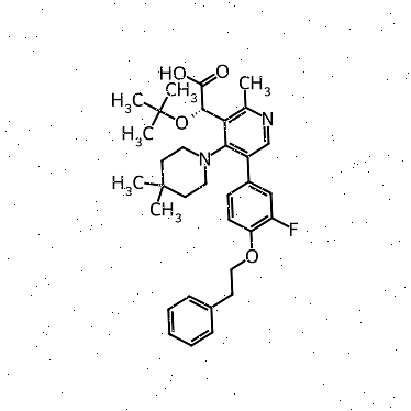 Cc1ncc(-c2ccc(OCCc3ccccc3)c(F)c2)c(N2CCC(C)(C)CC2)c1[C@H](OC(C)(C)C)C(=O)O